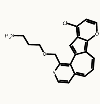 NCCCOCC1=c2c(cccc3c2cc2c(Cl)ccoc23)C=CS1